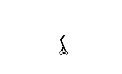 CC[C]1OO1